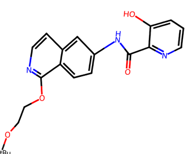 CC(C)(C)OCCOc1nccc2cc(NC(=O)c3ncccc3O)ccc12